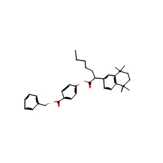 CCCCCC(C(=O)Oc1ccc(C(=O)OCc2ccccc2)cc1)c1ccc2c(c1)C(C)(C)CCC2(C)C